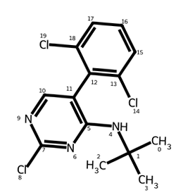 CC(C)(C)Nc1nc(Cl)ncc1-c1c(Cl)cccc1Cl